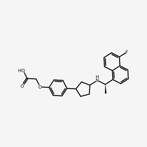 C[C@@H](NC1CCC(c2ccc(OCC(=O)O)cc2)C1)c1cccc2c(F)cccc12